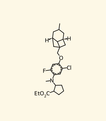 CCOC(=O)C1CCCC1N(C)c1cc(Cl)c(OCC23C[C@H]4CC(C)C[C@@H](C2)C43)cc1F